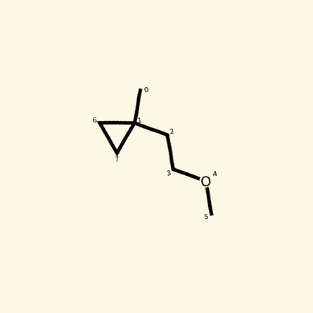 [CH2]C1(CCOC)CC1